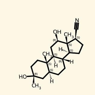 C[C@@]1(O)CC[C@@]2(C)[C@@H](CC[C@@H]3[C@@H]2C[C@@H](O)[C@]2(C)[C@@H](C#N)CC[C@@H]32)C1